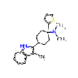 Cc1c(C2CCC(c3cccs3)(N(C)C)CC2)[nH]c2ccccc12